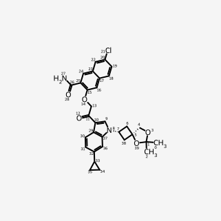 CC1(C)OC[C@]2(C[C@@H](n3cc(C(=O)COc4cc5ccc(Cl)cc5cc4C(N)=O)c4ccc(C5CC5)cc43)C2)O1